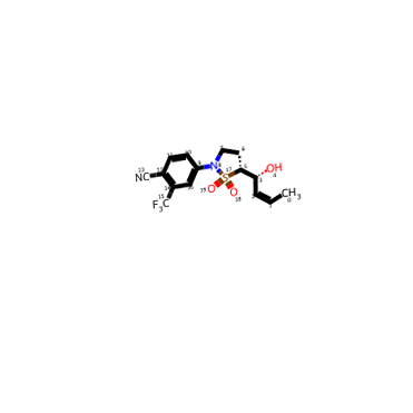 C/C=C\[C@@H](O)[C@H]1CCN(c2ccc(C#N)c(C(F)(F)F)c2)S1(=O)=O